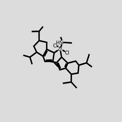 CC1=CC2=C(CC(C(C)C)CC2C(C)C)[CH]1[Zr]([Cl])([Cl])([CH]1C(C)=CC2=C1CC(C(C)C)CC2C(C)C)[SiH](C)C